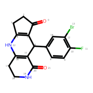 O=C1CCC2=C1C(c1ccc(F)c(Br)c1)C1=C(CCNC1=O)N2